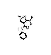 Cn1cc(C(=O)Nc2ccccc2)c(C(F)F)n1